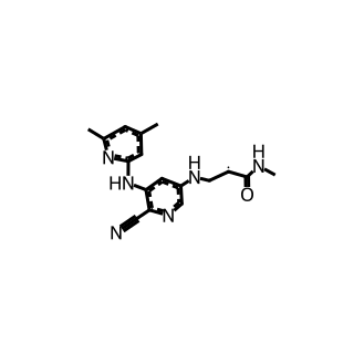 CNC(=O)[CH]CNc1cnc(C#N)c(Nc2cc(C)cc(C)n2)c1